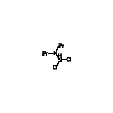 CC(C)N(C(C)C)[SiH](Cl)Cl